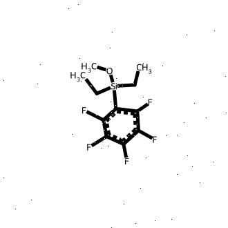 CC[Si](CC)(OC)c1c(F)c(F)c(F)c(F)c1F